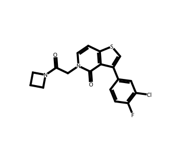 O=C(Cn1ccc2scc(-c3ccc(F)c(Cl)c3)c2c1=O)N1CCC1